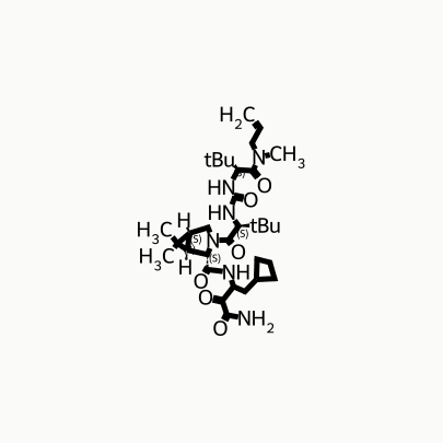 C=CCN(C)C(=O)[C@@H](NC(=O)N[C@H](C(=O)N1C[C@H]2[C@@H]([C@H]1C(=O)NC(CC1CCC1)C(=O)C(N)=O)C2(C)C)C(C)(C)C)C(C)(C)C